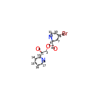 O=C(COC(=O)c1cc(Br)ccn1)c1ccccn1